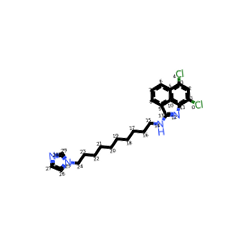 Clc1cc(Cl)c2cccc3c2c1N=C3NCCCCCCCCCCn1ccnc1